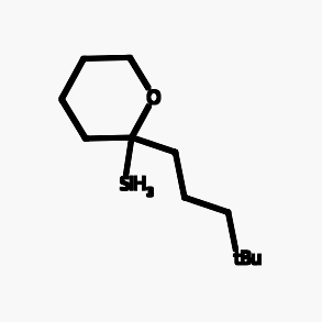 CC(C)(C)CCCC1([SiH3])CCCCO1